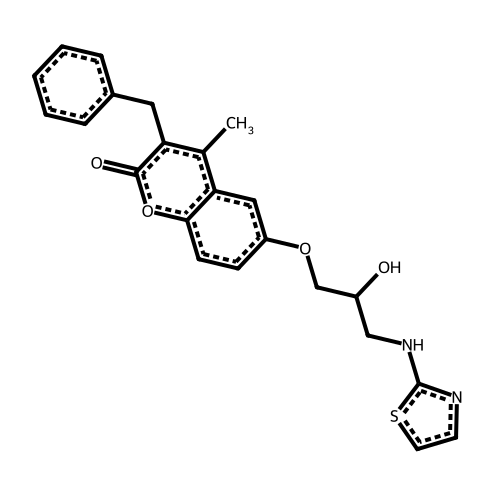 Cc1c(Cc2ccccc2)c(=O)oc2ccc(OCC(O)CNc3nccs3)cc12